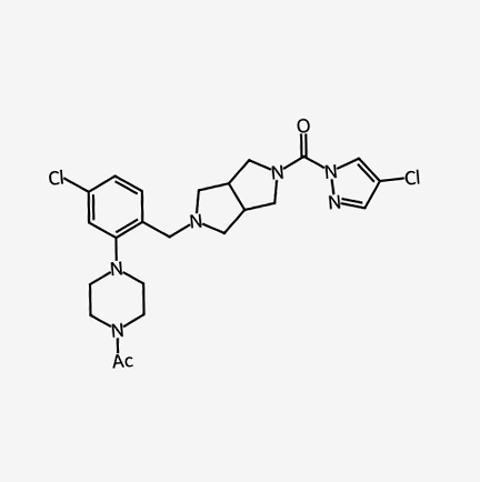 CC(=O)N1CCN(c2cc(Cl)ccc2CN2CC3CN(C(=O)n4cc(Cl)cn4)CC3C2)CC1